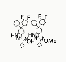 CON=C(c1n[nH]c2c1C=CC(c1ccccc1)(c1ccc(F)c(F)c1)C2)C1CCC1.ON=C(c1n[nH]c2c1C=CC(c1ccccc1)(c1ccc(F)c(F)c1)C2)C1CCC1